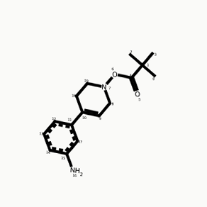 CC(C)(C)C(=O)ON1CC=C(c2cccc(N)c2)CC1